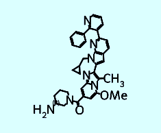 COc1cc(C(=O)N2CCC[C@@H](N)C2)cc2nc(-c3cc4ccc(-c5cccnc5-c5ccccc5)nc4n3CC3CC3)c(C)n12